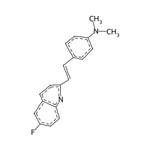 CN(C)c1ccc(/C=C/c2ccc3cc(F)ccc3n2)cc1